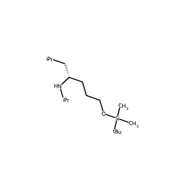 CC(C)C[C@H](CCCO[Si](C)(C)C(C)(C)C)NC(C)C